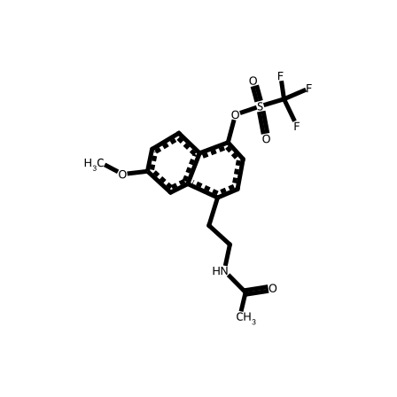 COc1ccc2c(OS(=O)(=O)C(F)(F)F)ccc(CCNC(C)=O)c2c1